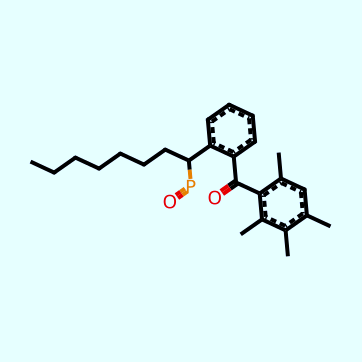 CCCCCCCC(P=O)c1ccccc1C(=O)c1c(C)cc(C)c(C)c1C